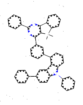 C[Si]1(C)c2ccccc2-c2nc(-c3ccccc3)nc(-c3cccc(-c4cccc5c4c4cc(-c6ccccc6)ccc4n5-c4ccccc4)c3)c21